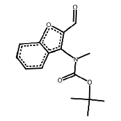 CN(C(=O)OC(C)(C)C)c1c(C=O)oc2ccccc12